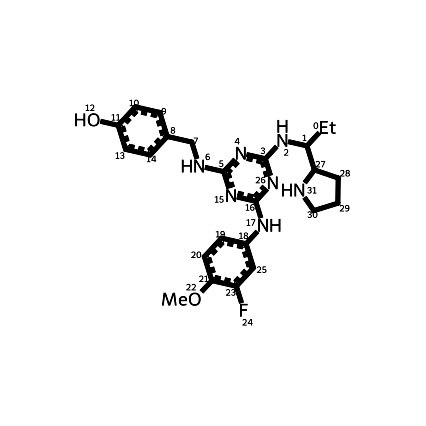 CCC(Nc1nc(NCc2ccc(O)cc2)nc(Nc2ccc(OC)c(F)c2)n1)C1CCCN1